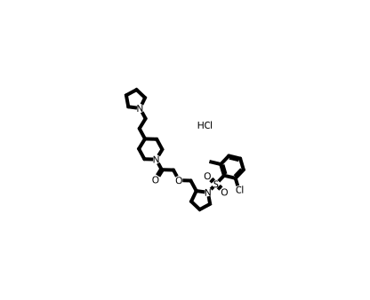 Cc1cccc(Cl)c1S(=O)(=O)N1CCCC1COCC(=O)N1CCC(CCN2CCCC2)CC1.Cl